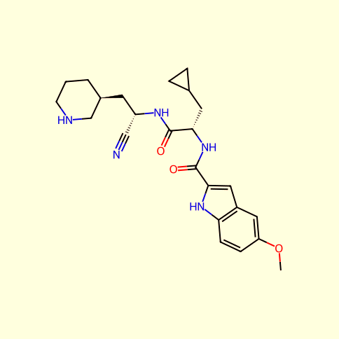 COc1ccc2[nH]c(C(=O)N[C@@H](CC3CC3)C(=O)N[C@H](C#N)C[C@@H]3CCCNC3)cc2c1